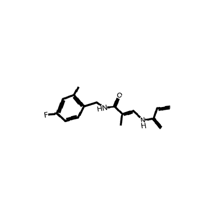 C=CC(=C)N/C=C(\C)C(=O)NCc1ccc(F)cc1C